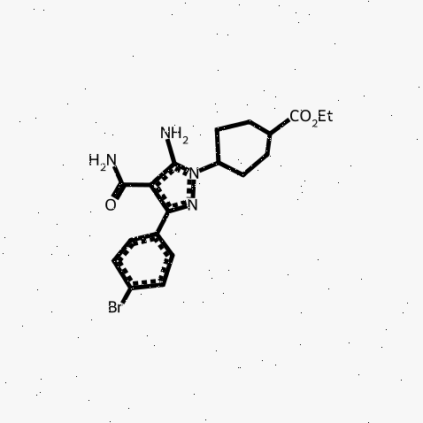 CCOC(=O)C1CCC(n2nc(-c3ccc(Br)cc3)c(C(N)=O)c2N)CC1